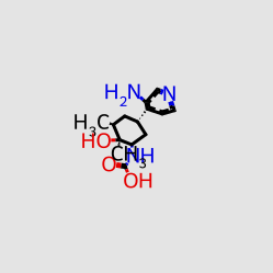 C[C@H]1C[C@H](c2ccncc2N)C[C@@H](NC(=O)O)[C@@]1(C)O